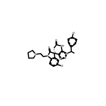 CC(c1ccc(Cl)cc1)n1nnc2c1NC(=O)C[C@]21C(=O)N(CCN2CCCC2)c2ccc(Cl)cc21